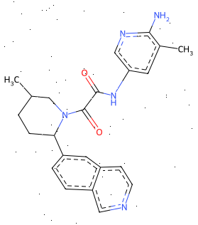 Cc1cc(NC(=O)C(=O)N2CC(C)CCC2c2ccc3cnccc3c2)cnc1N